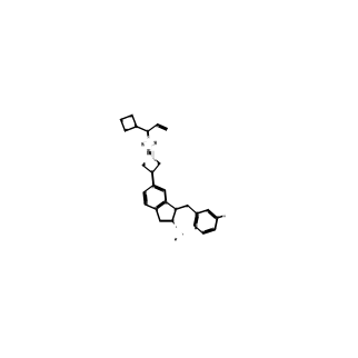 C=CC(C1CCC1)S(=O)(=O)N1CC(c2ccc3c(c2)C(Cc2cccc(Cl)c2)C(NC)C3)C1